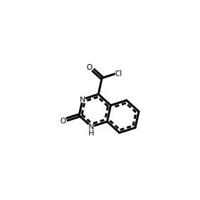 O=C(Cl)c1nc(=O)[nH]c2ccccc12